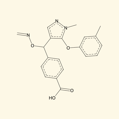 C=NOC(c1ccc(C(=O)O)cc1)c1cnn(C)c1Oc1cccc(C)c1